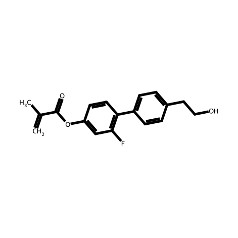 C=C(C)C(=O)Oc1ccc(-c2ccc(CCO)cc2)c(F)c1